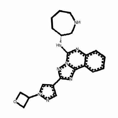 c1ccc2c(c1)nc(N[C@@H]1CCCCNC1)n1nc(-c3cnn(C4COC4)c3)nc21